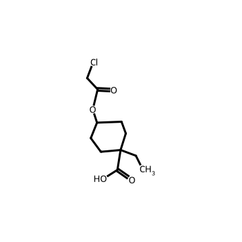 CCC1(C(=O)O)CCC(OC(=O)CCl)CC1